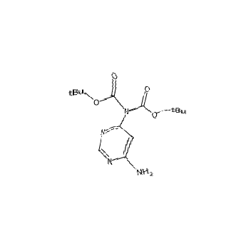 CC(C)(C)OC(=O)N(C(=O)OC(C)(C)C)c1cc(N)ncn1